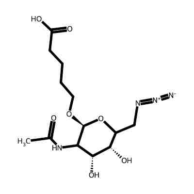 CC(=O)NC1[C@@H](OCCCCC(=O)O)OC(CN=[N+]=[N-])[C@H](O)[C@@H]1O